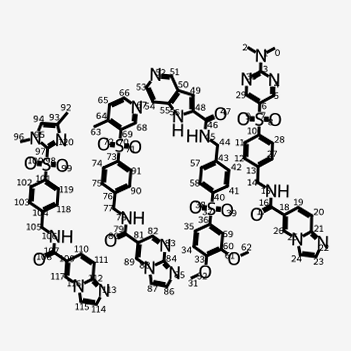 CN(C)c1ncc(S(=O)(=O)c2ccc(CNC(=O)c3ccc4nccn4c3)cc2)cn1.COc1ccc(S(=O)(=O)c2ccc(CNC(=O)c3cc4cnccc4[nH]3)cc2)cc1OC.Cc1ccncc1S(=O)(=O)c1ccc(CNC(=O)c2cnc3nccn3c2)cc1.Cc1cn(C)c(S(=O)(=O)c2ccc(CNC(=O)c3ccc4nccn4c3)cc2)n1